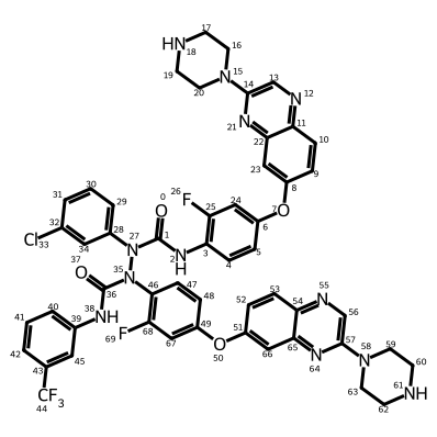 O=C(Nc1ccc(Oc2ccc3ncc(N4CCNCC4)nc3c2)cc1F)N(c1cccc(Cl)c1)N(C(=O)Nc1cccc(C(F)(F)F)c1)c1ccc(Oc2ccc3ncc(N4CCNCC4)nc3c2)cc1F